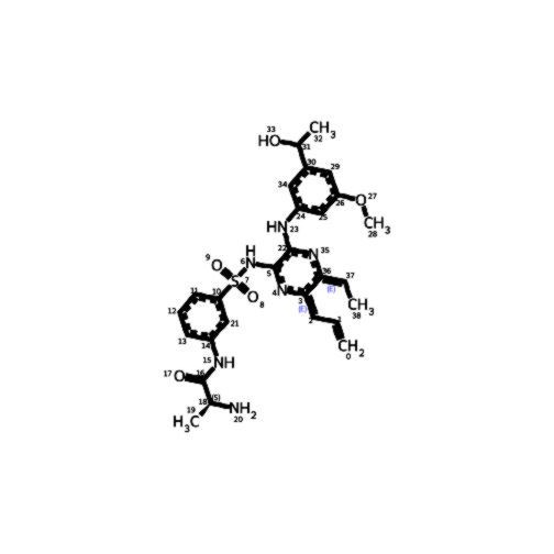 C=C/C=c1/nc(NS(=O)(=O)c2cccc(NC(=O)[C@H](C)N)c2)c(Nc2cc(OC)cc(C(C)O)c2)n/c1=C/C